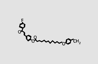 C=Cc1ccc(OCCCCCCCCCCCCC(=O)Oc2ccc(C=CC(=O)c3ccc(F)cc3)cc2)cc1